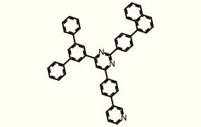 c1ccc(-c2cc(-c3ccccc3)cc(-c3cc(-c4ccc(-c5cccnc5)cc4)nc(-c4ccc(-c5cccc6ccccc56)cc4)n3)c2)cc1